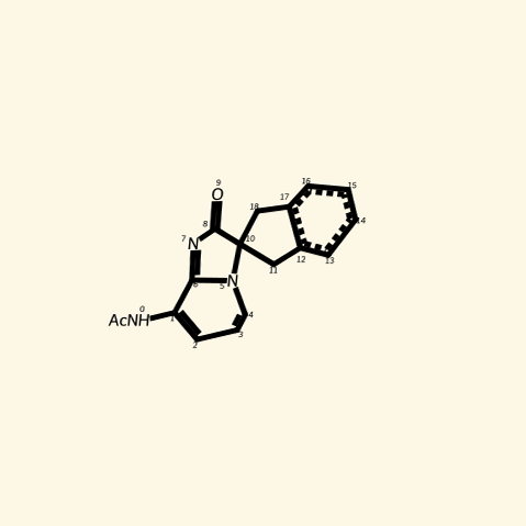 CC(=O)NC1=CC=CN2C1=NC(=O)C21Cc2ccccc2C1